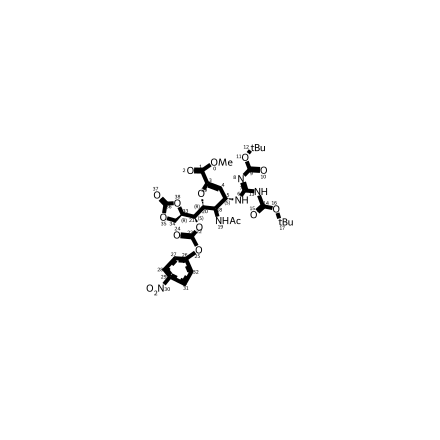 COC(=O)C1=C[C@H](NC(=NC(=O)OC(C)(C)C)NC(=O)OC(C)(C)C)C(NC(C)=O)[C@H]([C@H](OC(=O)Oc2ccc([N+](=O)[O-])cc2)[C@H]2COC(=O)O2)O1